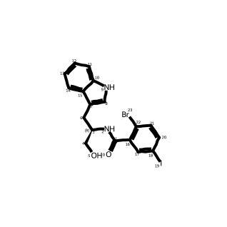 O=C(N[C@@H](CO)Cc1c[nH]c2ccccc12)c1cc(I)ccc1Br